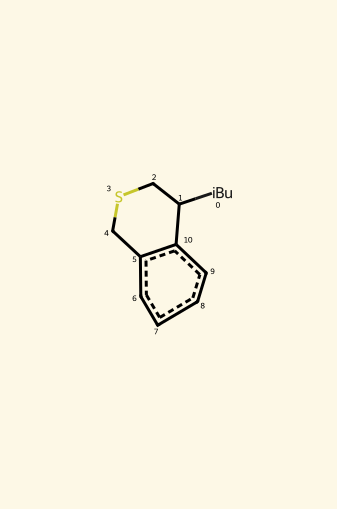 CCC(C)C1CSCc2ccccc21